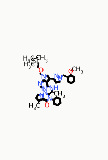 COc1ccccc1Cn1ccc(-c2cn(COCC[Si](C)(C)C)c3ncnc(N[C@@H](C)c4nn5ccc(C)c5c(=O)n4-c4ccccc4)c23)n1